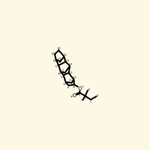 CCC(C)(C)C(=O)OC1CC2CC1C1C3CC(C4C5CCC(C5)C34)C21